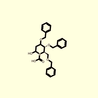 O=C(O)N1C(O)CC(OCc2ccccc2)[C@H](OCc2ccccc2)[C@H]1COCc1ccccc1